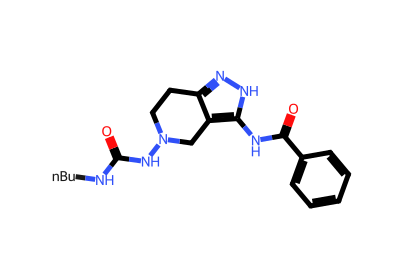 CCCCNC(=O)NN1CCc2n[nH]c(NC(=O)c3ccccc3)c2C1